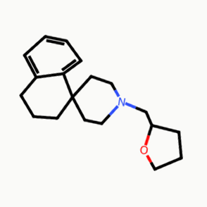 c1ccc2c(c1)CCCC21CCN(CC2CCCO2)CC1